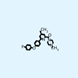 C=Cc1cc(C(=O)N2CCN(C)CC2)nc(-c2ccc(Oc3ccc(F)cc3)cc2)c1